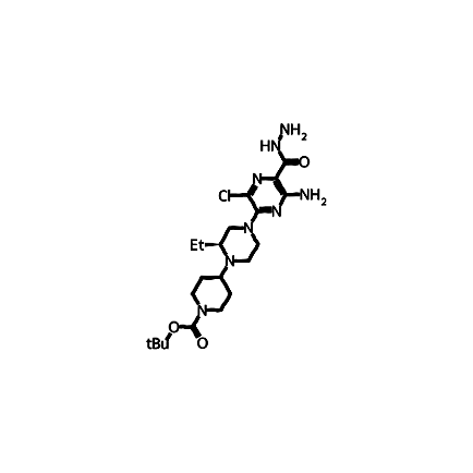 CC[C@H]1CN(c2nc(N)c(C(=O)NN)nc2Cl)CCN1C1CCN(C(=O)OC(C)(C)C)CC1